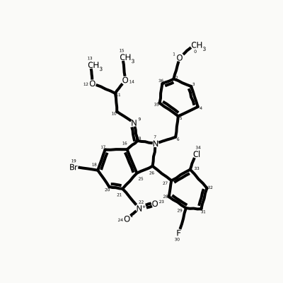 COc1ccc(CN2C(=NCC(OC)OC)c3cc(Br)cc([N+](=O)[O-])c3C2c2cc(F)ccc2Cl)cc1